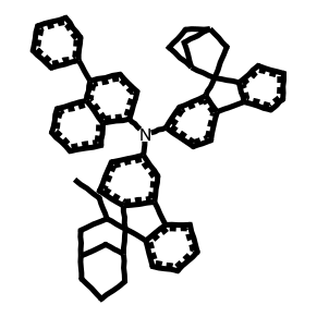 CCC1CC2CCCC(C2)C12c1ccccc1-c1cc(N(c3ccc4c(c3)C3(CC5CCC3C5)c3ccccc3-4)c3ccc(-c4ccccc4)c4ccccc34)ccc12